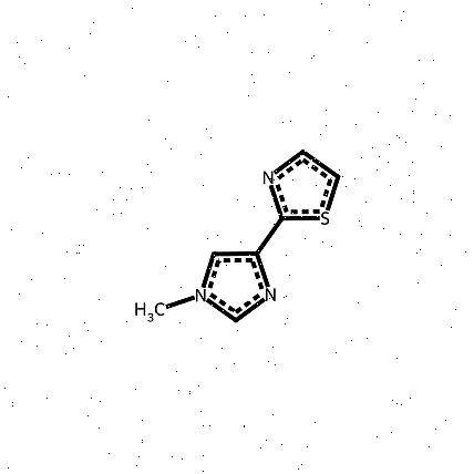 Cn1cnc(-c2nccs2)c1